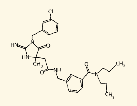 CCCN(CCC)C(=O)c1cccc(CNC(=O)CC2(C)NC(=N)N(Cc3cccc(Cl)c3)C2=O)c1